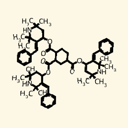 CC1(C)CC(OC(=O)C2CCC(C(=O)OC3CC(C)(C)NC(C)(C)C3=Cc3ccccc3)C(C(=O)OC3CC(C)(C)NC(C)(C)C3=Cc3ccccc3)C2)C(=Cc2ccccc2)C(C)(C)N1